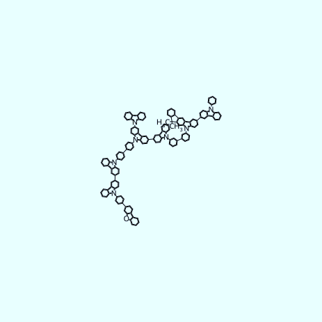 CC1(C)c2ccccc2-c2cc3c4cc(-c5ccc6c(c5)c5ccccc5n6-c5ccccc5)ccc4n(-c4cccc(-c5cccc(-n6c7ccccc7c7cc(-c8ccc9c(c8)c8cc(-n%10c%11ccccc%11c%11ccccc%11%10)ccc8n9-c8ccc(-c9ccc(-n%10c%11ccccc%11c%11cc(-c%12ccc%13c(c%12)c%12ccccc%12n%13-c%12ccc(-c%13ccc%14c(c%13)oc%13ccccc%13%14)cc%12)ccc%11%10)cc9)cc8)ccc76)c5)c4)c3cc21